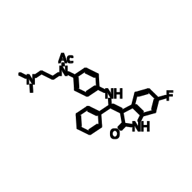 CC(=O)N(CCN(C)C)c1ccc(NC(=C2C(=O)Nc3cc(F)ccc32)c2ccccc2)cc1